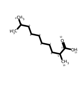 CC(C)CCCCCCC(C)C(=O)O